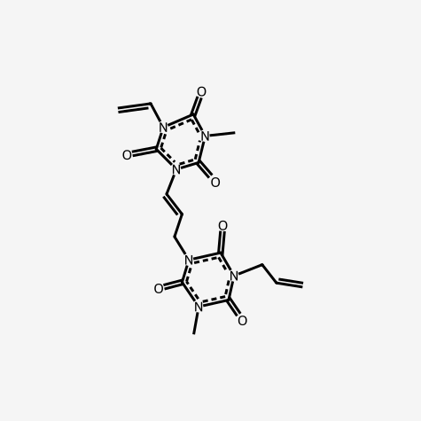 C=CCn1c(=O)n(C)c(=O)n(C/C=C/n2c(=O)n(C)c(=O)n(C=C)c2=O)c1=O